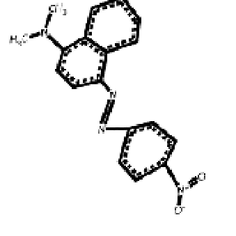 CN(C)c1ccc(N=Nc2ccc([N+](=O)[O-])cc2)c2ccccc12